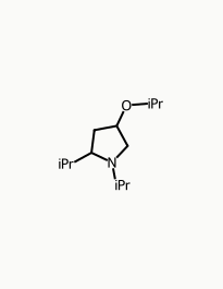 CC(C)OC1CC(C(C)C)N(C(C)C)C1